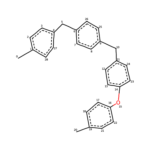 Cc1ccc(Cc2ccc(Cc3ccc(Oc4ccc(C)cc4)cc3)cc2)cc1